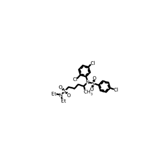 CCN(CC)S(=O)(=O)CCCC(C)N(c1cc(Cl)ccc1Cl)S(=O)(=O)c1ccc(Cl)cc1